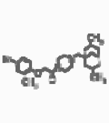 Cc1cc(Br)ccc1OCC(=O)N1CCN(CC23CC(C)CC(CC(C)C2)C3)CC1